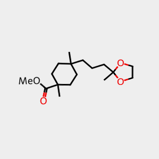 COC(=O)C1(C)CCC(C)(CCCC2(C)OCCO2)CC1